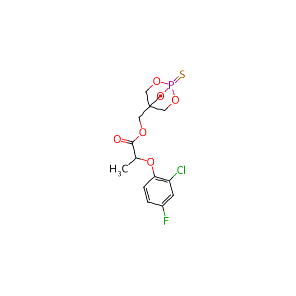 CC(Oc1ccc(F)cc1Cl)C(=O)OCC12COP(=S)(OC1)OC2